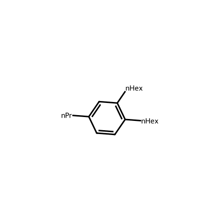 CCCCCCc1ccc(CCC)cc1CCCCCC